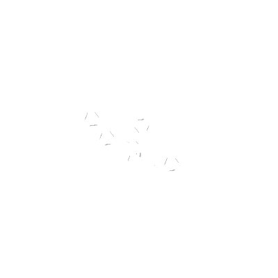 COc1ccc(NCCNC(=O)[C@H](Cc2ccc(-c3ccc(O)cc3)cc2)NC(=O)c2cccc(C)c2)cc1